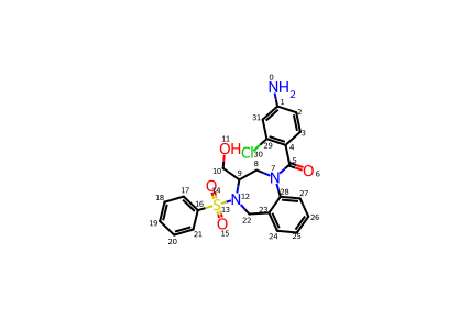 Nc1ccc(C(=O)N2CC(CO)N(S(=O)(=O)c3ccccc3)Cc3ccccc32)c(Cl)c1